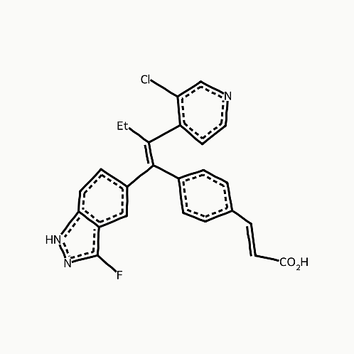 CC/C(=C(/c1ccc(/C=C/C(=O)O)cc1)c1ccc2[nH]nc(F)c2c1)c1ccncc1Cl